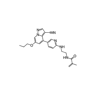 C=C(C)C(=O)NCCNc1ccc(-c2cc(OCCC)cn3ncc(C#N)c23)cn1